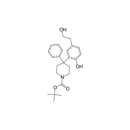 CC(C)(C)OC(=O)N1CCC(c2ccccc2)(c2cc(CCO)ccc2O)CC1